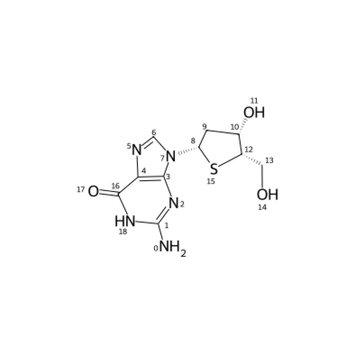 Nc1nc2c(ncn2[C@@H]2C[C@H](O)[C@H](CO)S2)c(=O)[nH]1